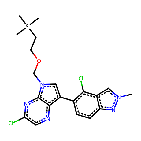 Cn1cc2c(Cl)c(-c3cn(COCC[Si](C)(C)C)c4nc(Cl)cnc34)ccc2n1